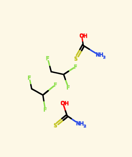 FCC(F)F.FCC(F)F.NC(O)=S.NC(O)=S